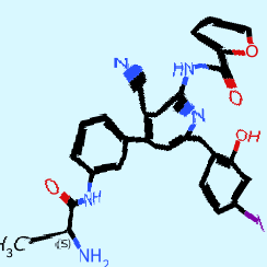 C[C@H](N)C(=O)Nc1cccc(-c2cc(-c3ccc(I)cc3O)nc(NC(=O)c3ccco3)c2C#N)c1